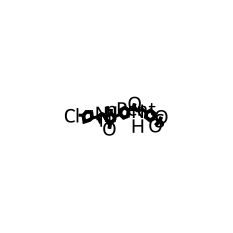 CCCCCn1c(-c2ccc(C(=O)NCc3ccc(S(C)(=O)=O)cc3)cc2)cc(=O)n2cc(-c3ccc(Cl)cc3)nc12